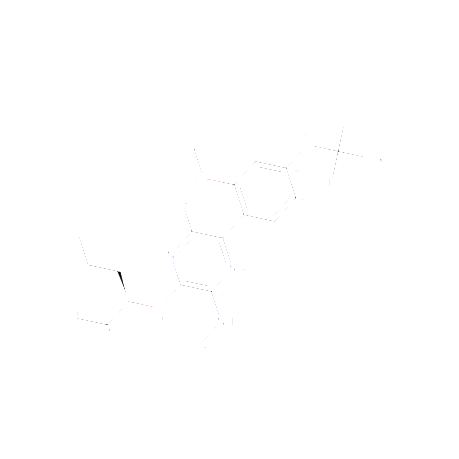 CCC[C@H](CC)Oc1nc(Br)c(-c2ccc(OC(F)(F)F)cc2OC)nc1NC